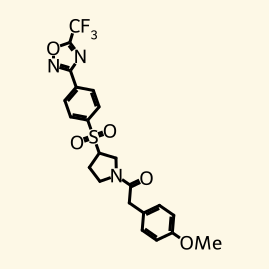 COc1ccc(CC(=O)N2CCC(S(=O)(=O)c3ccc(-c4noc(C(F)(F)F)n4)cc3)C2)cc1